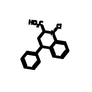 O=C(O)C1CC(c2ccccc2)c2ccccc2N1Cl